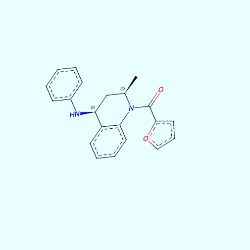 C[C@@H]1C[C@H](Nc2ccccc2)c2ccccc2N1C(=O)c1ccco1